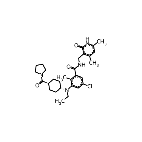 CCN(c1cc(Cl)cc(C(=O)NCc2c(C)cc(C)[nH]c2=O)c1C)[C@H]1CC[C@H](C(=O)N2CCCC2)CC1